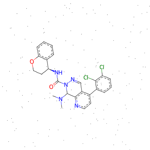 CN(C)C1c2nccc(-c3cccc(Cl)c3Cl)c2C=NN1C(=O)N[C@H]1CCOc2ccccc21